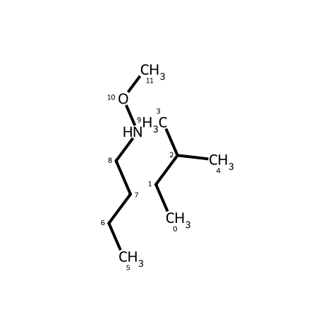 CCC(C)C.CCCCNOC